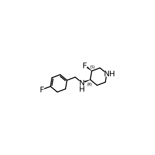 FC1=CC=C(CN[C@@H]2CCNC[C@@H]2F)CC1